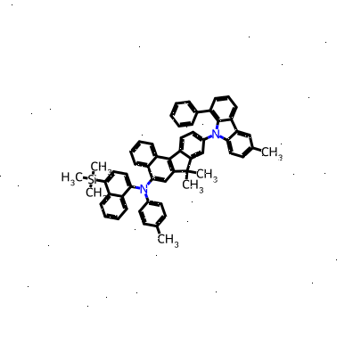 Cc1ccc(N(c2ccc([Si](C)(C)C)c3ccccc23)c2cc3c(c4ccccc24)-c2ccc(-n4c5ccc(C)cc5c5cccc(-c6ccccc6)c54)cc2C3(C)C)cc1